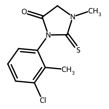 Cc1c(Cl)cccc1N1C(=O)CN(C)C1=S